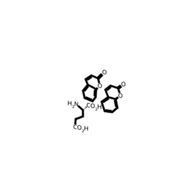 N[C@@H](CCC(=O)O)C(=O)O.O=c1ccc2ccccc2o1.O=c1ccc2ccccc2o1